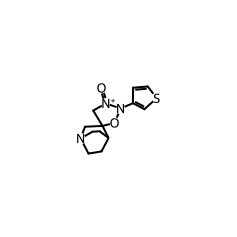 O=[N+]1CC2(CN3CCC2CC3)ON1c1ccsc1